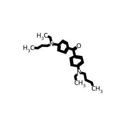 CCCCN(CC)c1ccc(C(=O)c2ccc(N(CC)CCCC)cc2)cc1